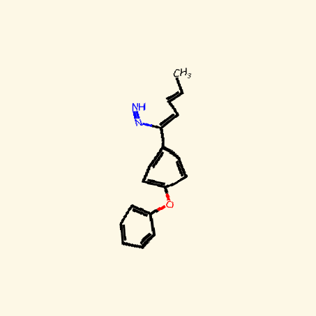 C/C=C/C=C(\N=N)c1ccc(Oc2ccccc2)cc1